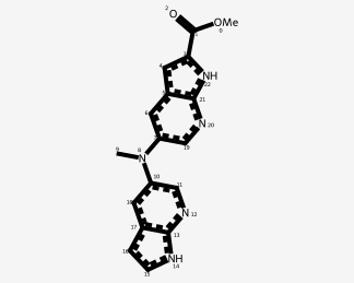 COC(=O)c1cc2cc(N(C)c3cnc4[nH]ccc4c3)cnc2[nH]1